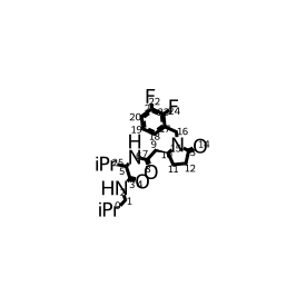 CC(C)CNC(=O)C(NC(=O)C[C@@H]1CCC(=O)N1Cc1cccc(F)c1F)C(C)C